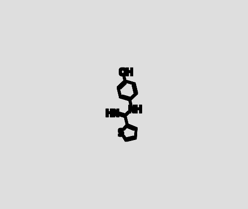 N=C(Nc1ccc(O)cc1)c1cccs1